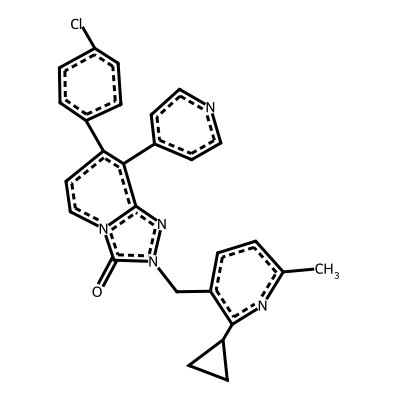 Cc1ccc(Cn2nc3c(-c4ccncc4)c(-c4ccc(Cl)cc4)ccn3c2=O)c(C2CC2)n1